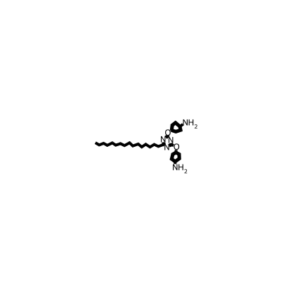 CCCCCCCCCCCCCCCCc1nc(Oc2ccc(N)cc2)nc(Oc2ccc(N)cc2)n1